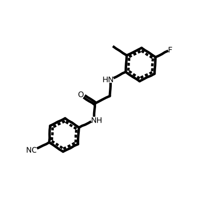 Cc1cc(F)ccc1NCC(=O)Nc1ccc(C#N)cc1